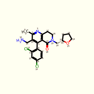 Cc1nc2c(c(-c3ccc(Cl)cc3Cl)c1CN)C(=O)N(C[C@@H]1CCCO1)CC2